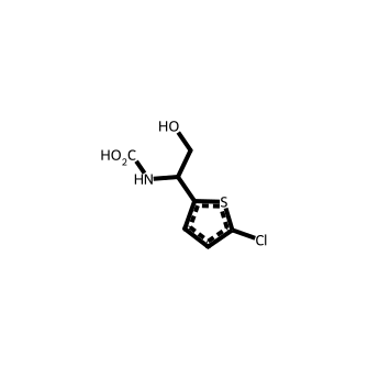 O=C(O)NC(CO)c1ccc(Cl)s1